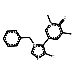 Cc1cc(-c2c(Cl)ncn2Cc2ccccc2)cn(C)c1=O